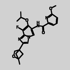 COc1cccc(C(=O)Nc2cn3cc(C45COC(C)(C4)C5)nc3c(F)c2OC(C)C)n1